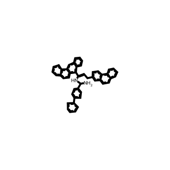 NC(N/C(=C\Cc1ccc2c(ccc3ccccc32)c1)c1c2ccccc2cc2c1ccc1ccccc12)c1ccc(-c2ccccc2)cc1